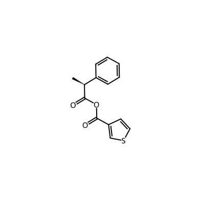 C[C@H](C(=O)OC(=O)c1ccsc1)c1ccccc1